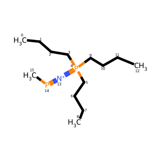 CCCCP(CCCC)(CCCC)=[N+]=PC